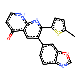 Cc1ccc(-c2nc3[nH]ccc(=O)c3cc2-c2ccc3ncoc3c2)s1